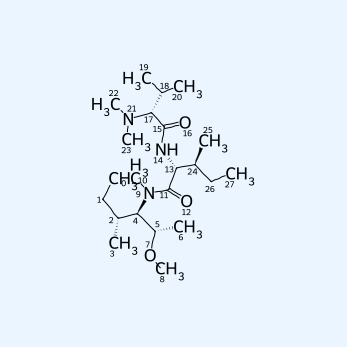 CC[C@@H](C)[C@H]([C@H](C)OC)N(C)C(=O)[C@H](NC(=O)[C@@H](C(C)C)N(C)C)[C@@H](C)CC